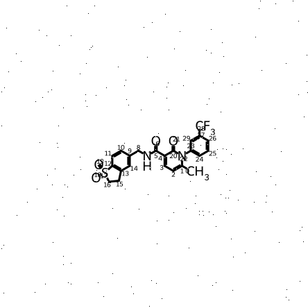 Cc1ccc(C(=O)NCc2ccc3c(c2)CCS3(=O)=O)c(=O)n1-c1cccc(C(F)(F)F)c1